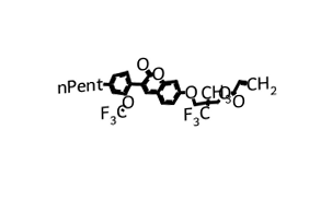 C=CC(=O)OCC(C)(COc1ccc2cc(-c3ccc(CCCCC)cc3OC(F)(F)F)c(=O)oc2c1)C(F)(F)F